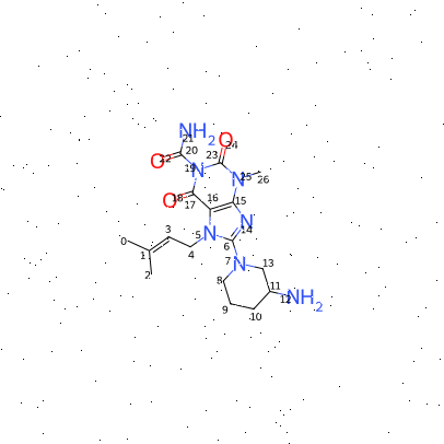 CC(C)=CCn1c(N2CCCC(N)C2)nc2c1c(=O)n(C(N)=O)c(=O)n2C